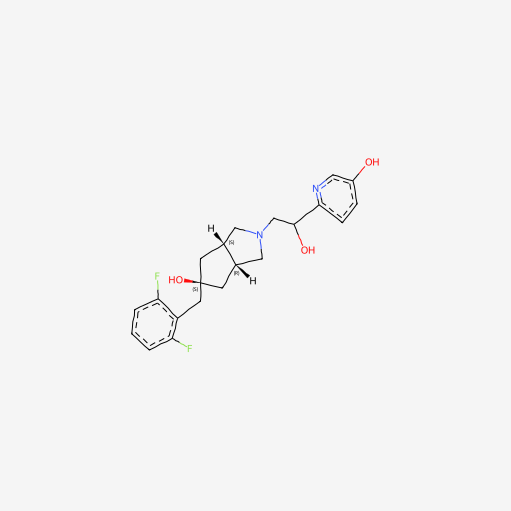 Oc1ccc(C(O)CN2C[C@@H]3C[C@](O)(Cc4c(F)cccc4F)C[C@@H]3C2)nc1